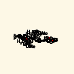 COC(=O)N[C@H](C(=O)N[C@@H](Cc1ccc(C#Cc2ccc(N3CC4CCC(C3)N4C(=O)OC(C)(C)C)nc2)cc1)[C@@H](O)CN(Cc1c(F)cc(C(=N)/C=C\NC(F)F)cc1F)NC(=O)[C@@H](NC(=O)OC)C(C)(C)C(F)(F)F)C(C)(C)C(F)(F)F